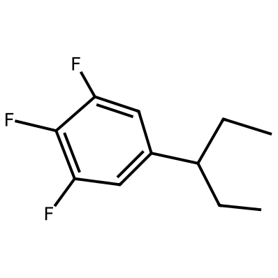 CCC(CC)c1cc(F)c(F)c(F)c1